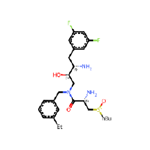 CCCC[S+]([O-])C[C@@H](N)C(=O)N(Cc1cccc(CC)c1)C[C@@H](O)[C@@H](N)Cc1cc(F)cc(F)c1